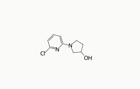 OC1CCN(c2cccc(Cl)n2)C1